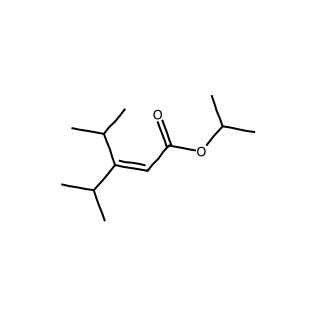 CC(C)OC(=O)C=C(C(C)C)C(C)C